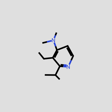 CCc1c(N(C)C)ccnc1C(C)C